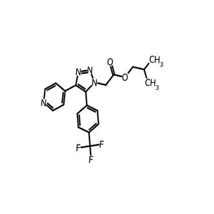 CC(C)COC(=O)Cn1nnc(-c2ccncc2)c1-c1ccc(C(F)(F)F)cc1